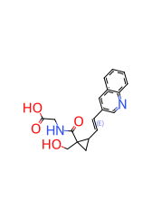 O=C(O)CNC(=O)C1(CO)CC1/C=C/c1cnc2ccccc2c1